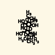 CC(=O)NC1C(OC(C)C)OC(CO)C(O)C1OC1CC(C(=O)O)C(OC(C)C)C(O)C1O